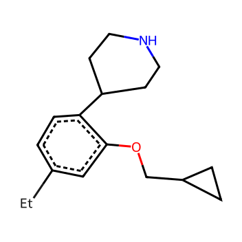 CCc1ccc(C2CCNCC2)c(OCC2CC2)c1